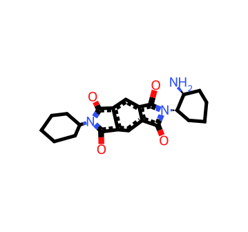 N[C@H]1CCCC[C@@H]1n1c(=O)c2cc3c(=O)n(C4CCCCC4)c(=O)c3cc2c1=O